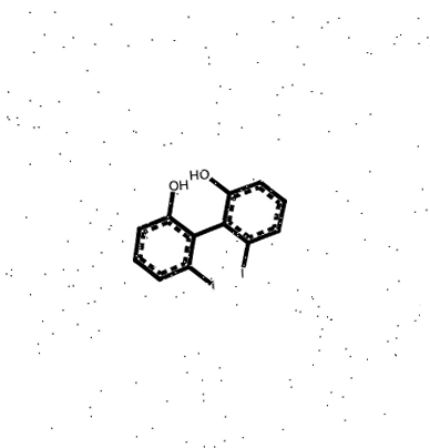 Oc1cccc(I)c1-c1c(O)cccc1I